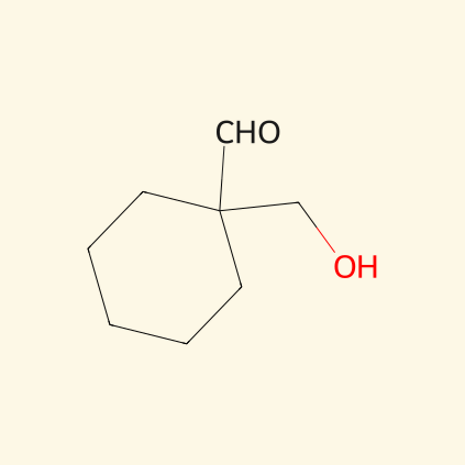 O=CC1(CO)CCCCC1